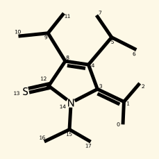 CC(C)=C1C(C(C)C)=C(C(C)C)C(=S)N1C(C)C